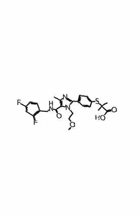 COCCn1c(-c2ccc(SC(C)(C)C(=O)O)cc2)nc(C)c1C(=O)NCc1ccc(F)cc1F